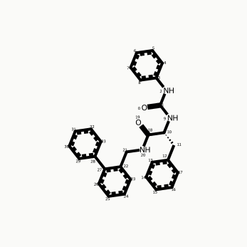 O=C(Nc1ccccc1)N[C@H](Cc1ccccc1)C(=O)NCc1ccccc1-c1ccccc1